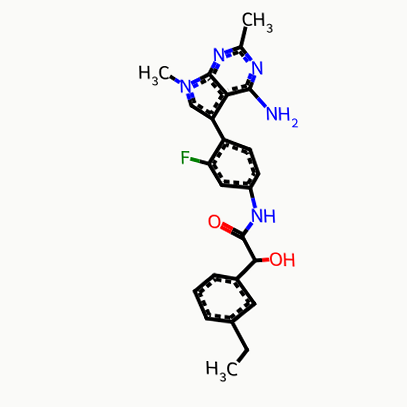 CCc1cccc(C(O)C(=O)Nc2ccc(-c3cn(C)c4nc(C)nc(N)c34)c(F)c2)c1